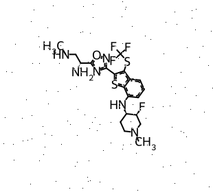 CNC[C@@H](N)c1nc(-c2sc3c(N[C@@H]4CCN(C)C[C@@H]4F)cccc3c2SC(F)(F)F)no1